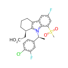 C[C@@H](c1ccc(Cl)c(F)c1)n1c2c(c3cc(F)cc(S(C)(=O)=O)c31)CCC[C@@H]2CC(=O)O